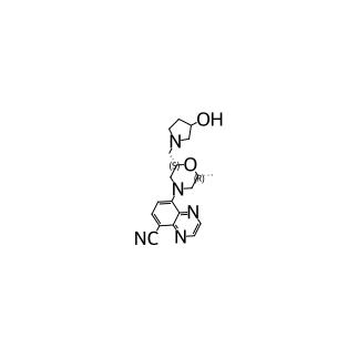 C[C@@H]1CN(c2ccc(C#N)c3nccnc23)C[C@H](CN2CCC(O)C2)O1